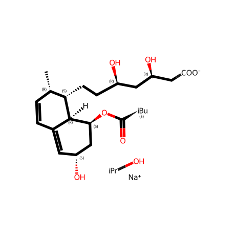 CC(C)O.CC[C@H](C)C(=O)O[C@H]1C[C@H](O)C=C2C=C[C@H](C)[C@H](CC[C@@H](O)C[C@@H](O)CC(=O)[O-])[C@H]21.[Na+]